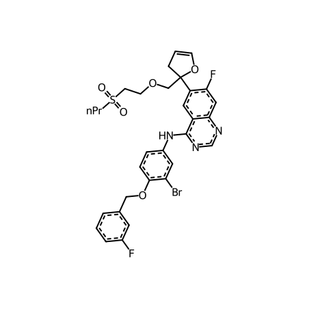 CCCS(=O)(=O)CCOCC1(c2cc3c(Nc4ccc(OCc5cccc(F)c5)c(Br)c4)ncnc3cc2F)CC=CO1